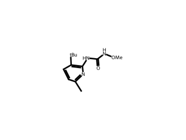 CONC(=O)Nc1nc(C)ccc1C(C)(C)C